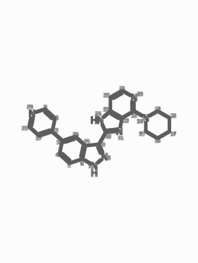 c1cc(-c2ccc3[nH]nc(-c4nc5c(N6CCCCC6)nccc5[nH]4)c3c2)ccn1